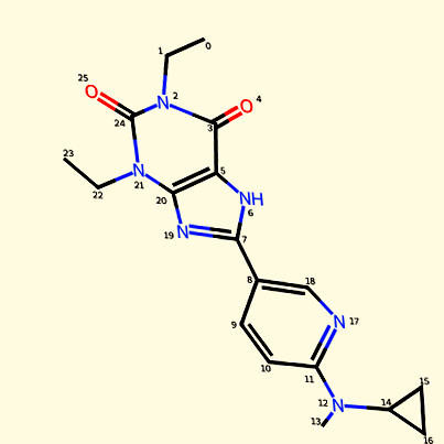 CCn1c(=O)c2[nH]c(-c3ccc(N(C)C4CC4)nc3)nc2n(CC)c1=O